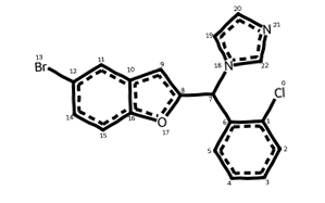 Clc1ccccc1C(c1cc2cc(Br)ccc2o1)n1ccnc1